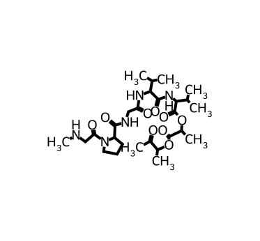 CNCC(=O)N1CCCC1C(=O)NCC(=O)NC(C(=O)NC(C(=O)OC(C)C(=O)OC(C)C(C)=O)C(C)C)C(C)C